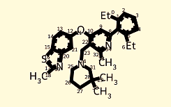 CCc1cccc(CC)c1-c1cc(Oc2ccc3sc(C)nc3c2)c(CN2CCCC(C)(C)C2)c(C)n1